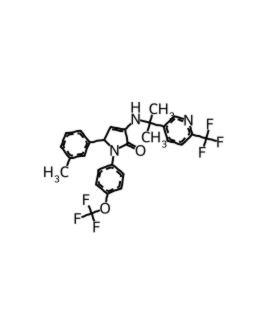 Cc1cccc(C2C=C(NC(C)(C)c3ccc(C(F)(F)F)nc3)C(=O)N2c2ccc(OC(F)(F)F)cc2)c1